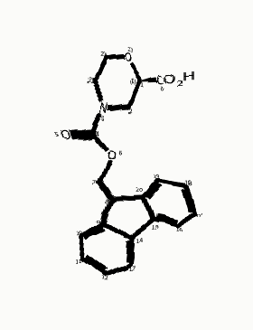 O=C(O)[C@H]1CN(C(=O)OCC2c3ccccc3-c3ccccc32)CCO1